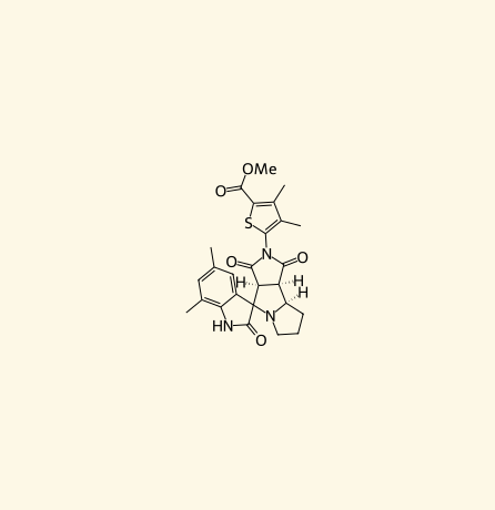 COC(=O)c1sc(N2C(=O)[C@H]3[C@H]4CCCN4C4(C(=O)Nc5c(C)cc(C)cc54)[C@H]3C2=O)c(C)c1C